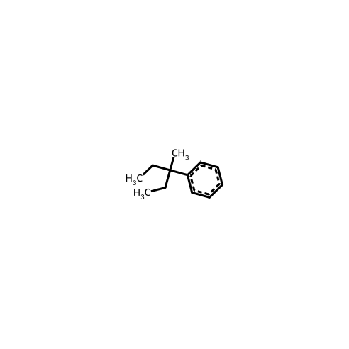 CCC(C)(CC)c1[c]cccc1